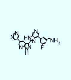 NCc1cc(F)cc(-c2cncc3[nH]c(-c4n[nH]c5ncc(-c6cncnc6)cc45)nc23)c1